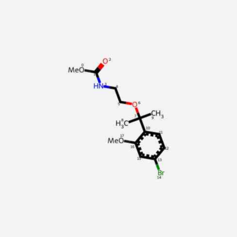 COC(=O)NCCOC(C)(C)c1ccc(Br)cc1OC